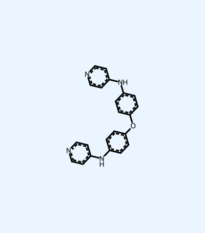 c1cc(Nc2ccc(Oc3ccc(Nc4ccncc4)cc3)cc2)ccn1